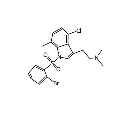 Cc1ccc(Cl)c2c(CCN(C)C)cn(S(=O)(=O)c3ccccc3Br)c12